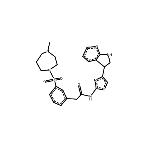 CN1CCCN(S(=O)(=O)c2cccc(CC(=O)Nc3nc(C4CNc5ncccc54)cs3)c2)CC1